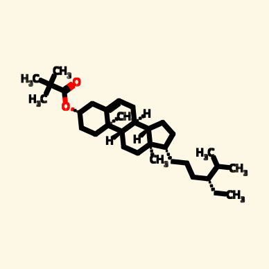 CC[C@H](CCC[C@H]1CC[C@H]2[C@@H]3CC=C4C[C@@H](OC(=O)C(C)(C)C)CC[C@]4(C)[C@H]3CC[C@]12C)C(C)C